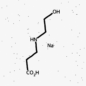 O=C(O)CCNCCO.[Na]